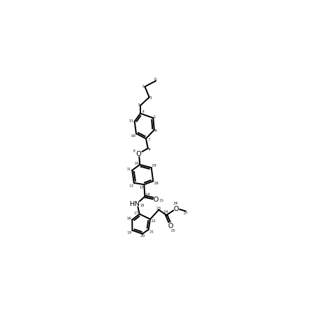 CCCCc1ccc(COc2ccc(C(=O)Nc3ccccc3CC(=O)OC)cc2)cc1